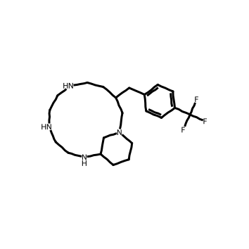 FC(F)(F)c1ccc(CC2CCNCCNCCNC3CCCN(C2)C3)cc1